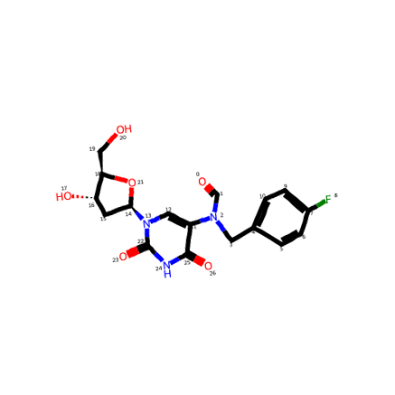 O=CN(Cc1ccc(F)cc1)c1cn([C@H]2C[C@H](O)[C@@H](CO)O2)c(=O)[nH]c1=O